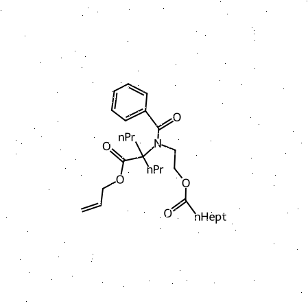 C=CCOC(=O)C(CCC)(CCC)N(CCOC(=O)CCCCCCC)C(=O)c1ccccc1